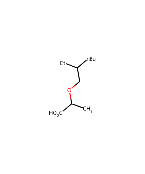 CCCCC(CC)COC(C)C(=O)O